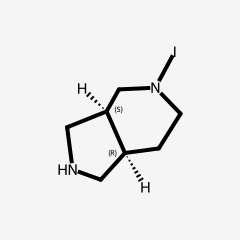 IN1CC[C@H]2CNC[C@H]2C1